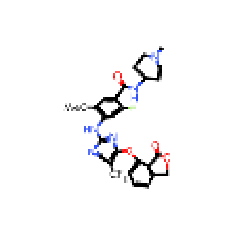 COc1cc(C(=O)NC2CCN(C)CC2)c(F)cc1Nc1ncc(C(F)(F)F)c(Oc2cccc3c2C(=O)OC3)n1